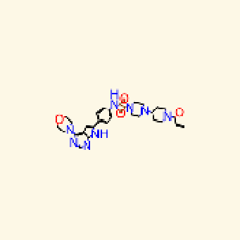 C=CC(=O)N1CCC(N2CCN(S(=O)(=O)Nc3ccc(-c4cc5c(N6CCOCC6)ncnc5[nH]4)cc3)CC2)CC1